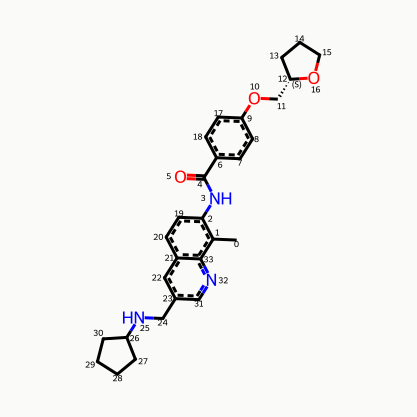 Cc1c(NC(=O)c2ccc(OC[C@@H]3CCCO3)cc2)ccc2cc(CNC3CCCC3)cnc12